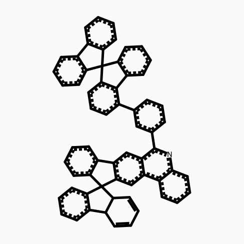 C1=CC2c3ccccc3C3(c4ccccc4-c4cc5c(-c6cccc(-c7cccc8c7-c7ccccc7C87c8ccccc8-c8ccccc87)c6)nc6ccccc6c5cc43)C2C=C1